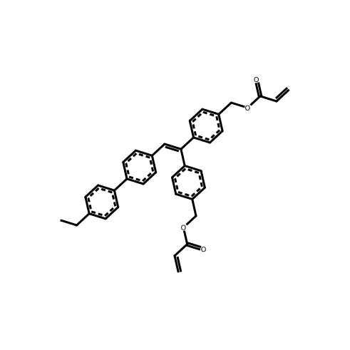 C=CC(=O)OCc1ccc(C(=Cc2ccc(-c3ccc(CC)cc3)cc2)c2ccc(COC(=O)C=C)cc2)cc1